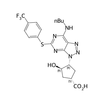 CCCCNc1nc(Sc2ccc(C(F)(F)F)cc2)nc2c1nnn2[C@@H]1C[C@H](C(=O)O)C[C@H]1O